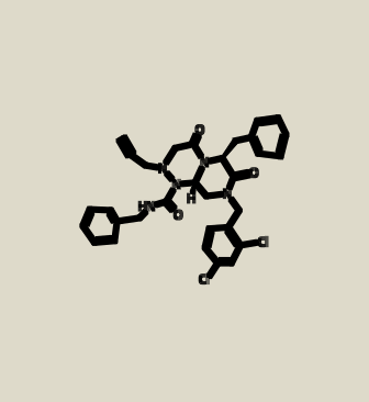 C#CCN1CC(=O)N2[C@@H](Cc3ccccc3)C(=O)N(Cc3ccc(Cl)cc3Cl)C[C@@H]2N1C(=O)NCc1ccccc1